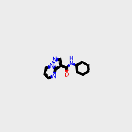 O=C(NC1CCCCC1)c1cnn2cccnc12